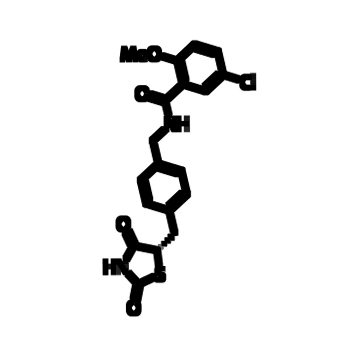 COc1ccc(Cl)cc1C(=O)NCc1ccc(C[C@@H]2SC(=O)NC2=O)cc1